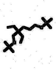 CCC(CC)(CCCOC(C)(C)C)COC(C)(C)C